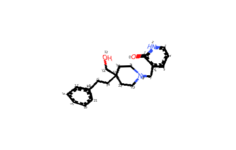 O=c1[nH]cccc1CN1CCC(CO)(CCc2ccccc2)CC1